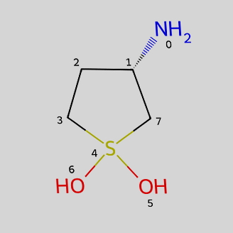 N[C@H]1CCS(O)(O)C1